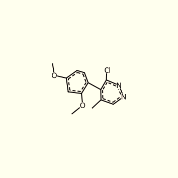 COc1ccc(-c2c(C)cnnc2Cl)c(OC)c1